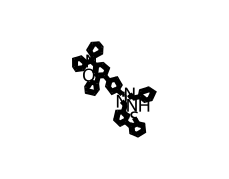 c1ccc(C2=NC(c3ccc(-c4ccc(N(c5ccccc5)c5ccccc5)c5oc6ccccc6c45)cc3)=NC(c3cccc4c3sc3ccccc34)N2)cc1